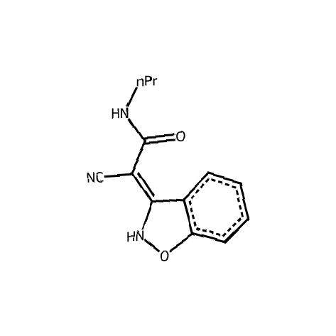 CCCNC(=O)C(C#N)=C1NOc2ccccc21